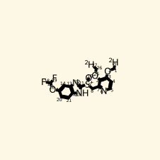 [2H]COc1ccnc(C[S+]([O-])c2nc3cc(OC(F)F)ccc3[nH]2)c1OC[2H]